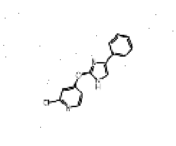 Clc1cc(Oc2nc(-c3ccccc3)c[nH]2)ccn1